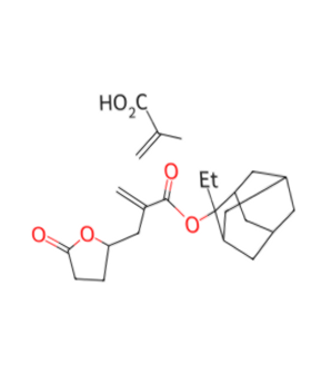 C=C(C)C(=O)O.C=C(CC1CCC(=O)O1)C(=O)OC1(CC)C2CC3CC(C2)CC1C3